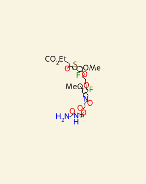 CCOC(=O)CCC(=O)c1cc2c(F)c(OCCCOc3c(OC)cc4c(c3F)CN(C(=O)CCC(=O)O[C@@H](C)CNC(=O)CN)C4)c(OC)cc2s1